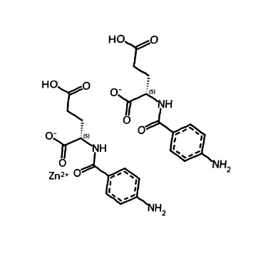 Nc1ccc(C(=O)N[C@@H](CCC(=O)O)C(=O)[O-])cc1.Nc1ccc(C(=O)N[C@@H](CCC(=O)O)C(=O)[O-])cc1.[Zn+2]